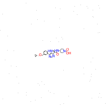 C1CC1.COCc1cccc(-c2ncnc3c(C(=O)NC4CCN(C(=O)O)CC4)c[nH]c23)c1